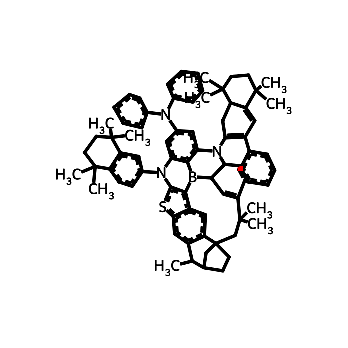 CC1c2cc3sc4c5c3cc2C2(CCC1C2)CC(C)(C)C1=CC2B5c3c(cc(N(c5ccccc5)c5ccccc5)cc3N(C3=C(c5ccccc5)C=C5C(C3)C(C)(C)CCC5(C)C)C2C=C1)N4c1ccc2c(c1)C(C)(C)CCC2(C)C